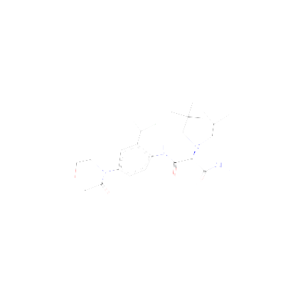 CC(C)CN(CC(C)(C)C)[C@@H](C(N)=O)C(=O)Nc1ccc(N2CCOCC2=O)cc1C(F)F